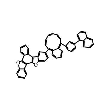 c1cccc(-c2ccc3oc4c(c3c2)c2ccccc2c2oc3ccccc3c24)c2ccccc2c(-c2cccc(-c3cccc4ccccc34)c2)cc1